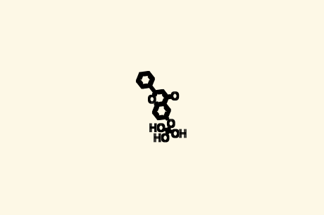 O=c1cc(-c2ccccc2)oc2ccc(OC(O)(O)O)cc12